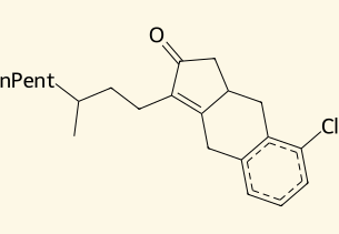 CCCCCC(C)CCC1=C2Cc3cccc(Cl)c3CC2CC1=O